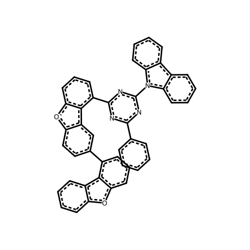 c1ccc(-c2nc(-c3cccc4oc5ccc(-c6cccc7oc8ccccc8c67)cc5c34)nc(-n3c4ccccc4c4ccccc43)n2)cc1